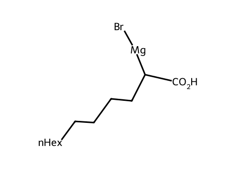 CCCCCCCCCC[CH]([Mg][Br])C(=O)O